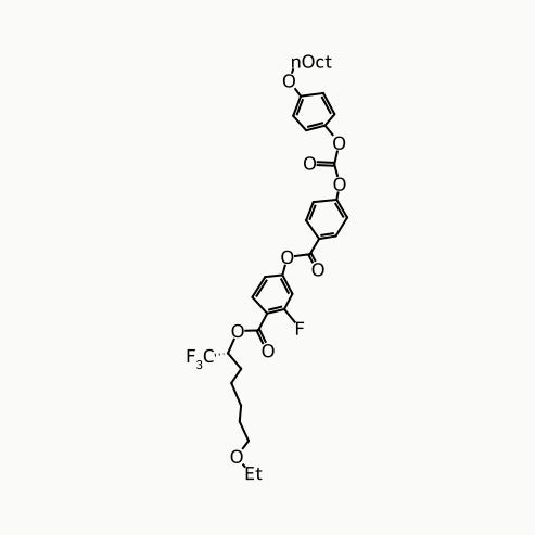 CCCCCCCCOc1ccc(OC(=O)Oc2ccc(C(=O)Oc3ccc(C(=O)O[C@H](CCCCCOCC)C(F)(F)F)c(F)c3)cc2)cc1